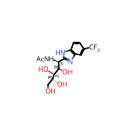 CC(=O)N[C@@H](c1nc2cc(C(F)(F)F)ccc2[nH]1)[C@@H](O)[C@H](O)[C@H](O)CO